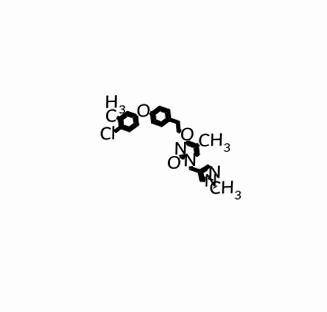 Cc1cc(Oc2ccc(CCOc3nc(=O)n(Cc4cnn(C)c4)cc3C)cc2)ccc1Cl